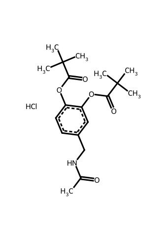 CC(=O)NCc1ccc(OC(=O)C(C)(C)C)c(OC(=O)C(C)(C)C)c1.Cl